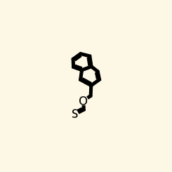 S=COCc1ccc2ccccc2c1